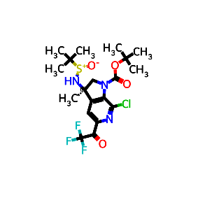 CC(C)(C)OC(=O)N1C[C@](C)(N[S+]([O-])C(C)(C)C)c2cc(C(=O)C(F)(F)F)nc(Cl)c21